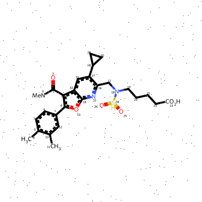 CNC(=O)c1c(-c2ccc(C)c(C)c2)oc2nc(CN(CCCCC(=O)O)[SH](=O)=O)c(C3CC3)cc12